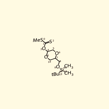 CSC(=S)OC1COC(CO[Si](C)(C)C(C)(C)C)CO1